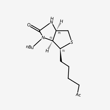 CCCCN1C(=O)N[C@H]2CS[C@@H](CCCCC(C)=O)[C@H]21